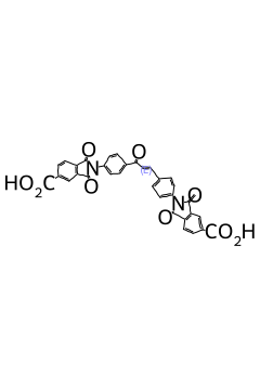 O=C(O)c1ccc2c(c1)C(=O)N(c1ccc(/C=C/C(=O)c3ccc(N4C(=O)c5ccc(C(=O)O)cc5C4=O)cc3)cc1)C2=O